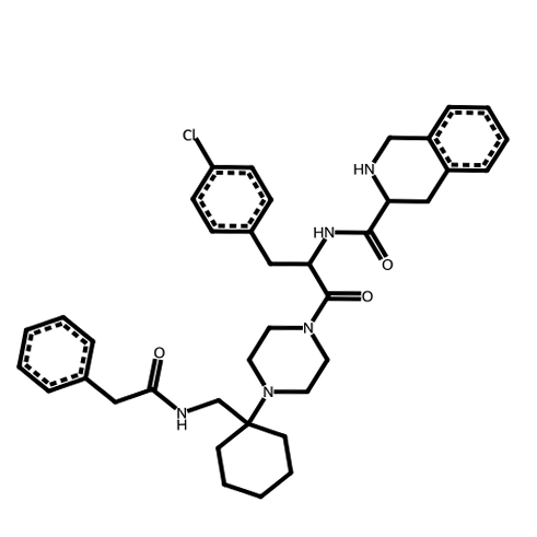 O=C(Cc1ccccc1)NCC1(N2CCN(C(=O)C(Cc3ccc(Cl)cc3)NC(=O)C3Cc4ccccc4CN3)CC2)CCCCC1